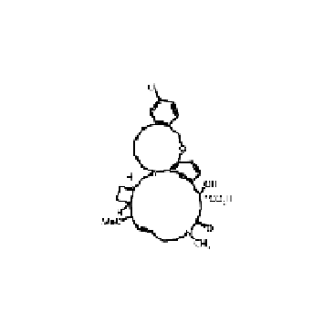 COC1/C=C/CCN(C)C(=O)C[C@@](O)(C(=O)O)c2ccc3c(c2)N(CCCCc2cc(Cl)ccc2CO3)C[C@@H]2CC[C@@H]12